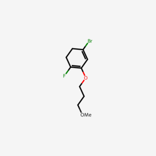 COCCCOC1=C(F)CCC(Br)=C1